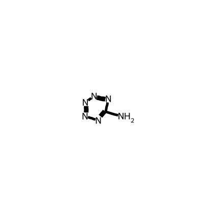 Nc1nnnnn1